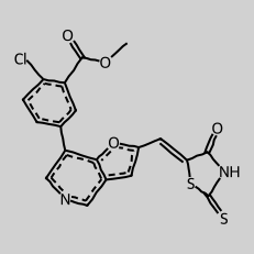 COC(=O)c1cc(-c2cncc3cc(/C=C4\SC(=S)NC4=O)oc23)ccc1Cl